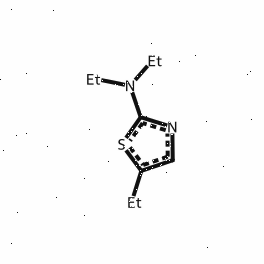 CCc1cnc(N(CC)CC)s1